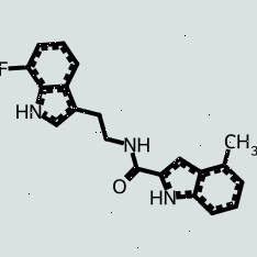 Cc1cccc2[nH]c(C(=O)NCCc3c[nH]c4c(F)cccc34)cc12